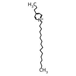 CCCCCCCCCCCCCCCC[n+]1ccc(CCC)cc1